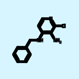 Nc1c(NCc2ccccc2)ccnc1Cl